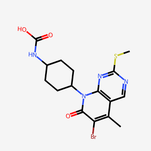 CSc1ncc2c(C)c(Br)c(=O)n(C3CCC(NC(=O)O)CC3)c2n1